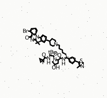 Cc1ncsc1-c1ccc([C@H](CCCCCN2CCC(c3ccc4c(c3)C(C)(C)c3nc(=O)c5c(Br)cccc5n3-4)CC2)NC(=O)C2C[C@@H](O)CN2C(=O)[C@@H](NC(=O)C2(F)CC2)C(C)(C)C)cc1